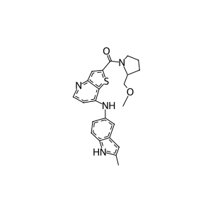 COCC1CCCN1C(=O)c1cc2nccc(Nc3ccc4[nH]c(C)cc4c3)c2s1